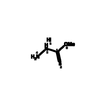 COC(=S)NN.I